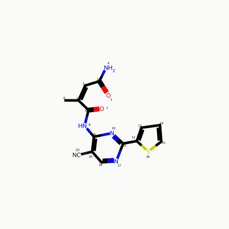 C/C(=C/C(N)=O)C(=O)Nc1nc(-c2cccs2)ncc1C#N